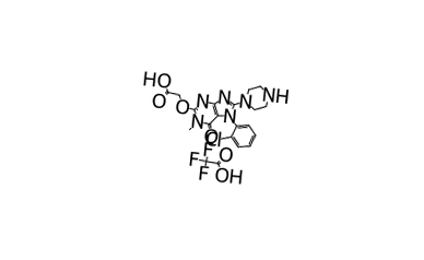 Cn1c(OCC(=O)O)nc2nc(N3CCNCC3)n(-c3ccccc3Cl)c2c1=O.O=C(O)C(F)(F)F